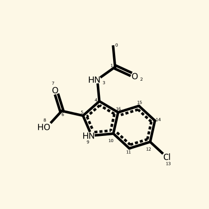 CC(=O)Nc1c(C(=O)O)[nH]c2cc(Cl)ccc12